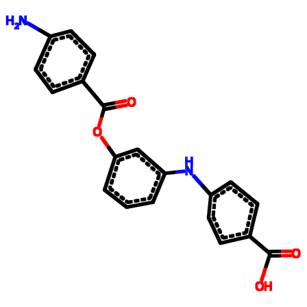 Nc1ccc(C(=O)Oc2cccc(Nc3ccc(C(=O)O)cc3)c2)cc1